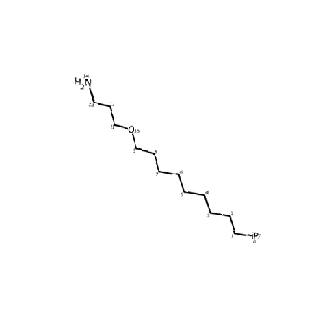 CC(C)CCCCCCCCCOCCCN